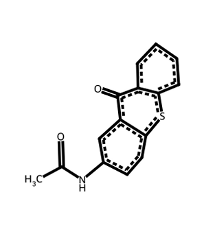 CC(=O)Nc1ccc2sc3ccccc3c(=O)c2c1